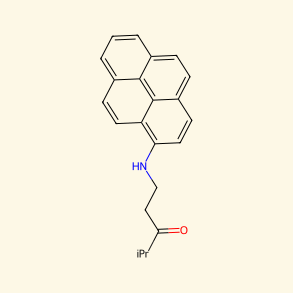 CC(C)C(=O)CCNc1ccc2ccc3cccc4ccc1c2c34